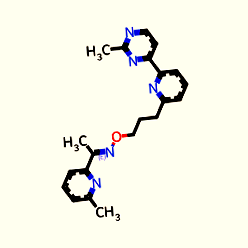 C/C(=N\OCCCc1cccc(-c2ccnc(C)n2)n1)c1cccc(C)n1